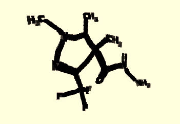 CC1N(C)N=C(C(F)(F)F)C1(C)C(=O)NN